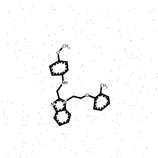 COc1ccc(NCc2nc3ccccc3n2CCOc2ccccc2C)cc1